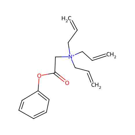 C=CC[N+](CC=C)(CC=C)CC(=O)Oc1ccccc1